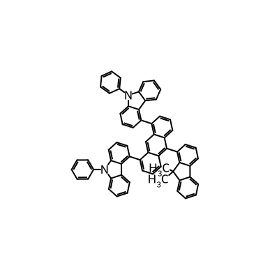 CC1(C)c2ccccc2-c2cccc(-c3c4cccc(-c5cccc6c5c5ccccc5n6-c5ccccc5)c4cc4c(-c5cccc6c5c5ccccc5n6-c5ccccc5)cccc34)c21